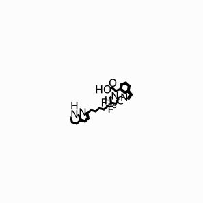 Cn1ccc2cccc(C(C(=O)O)N3CC[C@@H](C(F)(F)CCCCc4ccc5c(n4)NCCC5)C3)c21